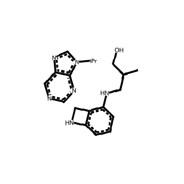 CC(C)n1cnc2cncnc21.CC(CO)CNc1cccc2c1CN2